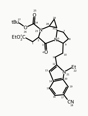 CCOC(=O)CC(C(=O)N1CCCC1CCc1cc2ccc(C#N)cc2n1CC)N(C(=O)OC(C)(C)C)C1CC1